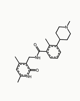 Cc1cc(C)c(CNC(=O)c2cccc(C3CCN(C)CC3)c2C)c(=O)[nH]1